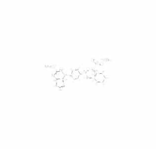 CSc1nc(-c2ccc(C(=O)Nc3ccccc3NC(=O)OC(C)(C)C)cc2)c2sccc2n1